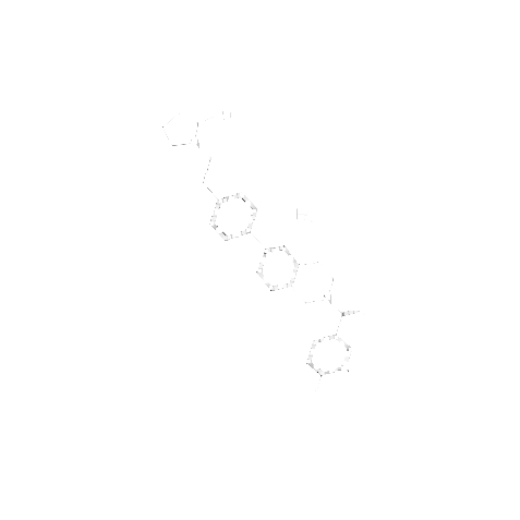 CC1CCCN1CCc1ccc(-c2ccc3c(c2)CCN(C(=O)c2ccc(O)nc2)C3)cc1.Cl